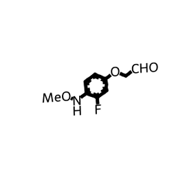 CONc1ccc(OCC=O)cc1F